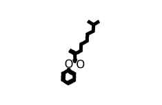 C=C(CCCCCC(C)C)C(=O)Oc1ccccc1